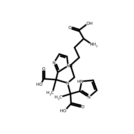 CC(C(=O)O)(c1ncc[nH]1)N(CCCCC(N)C(=O)O)C(C)(C(=O)O)c1ncc[nH]1